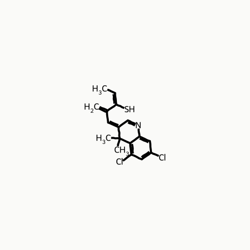 C=C(/C=C1\C=Nc2cc(Cl)cc(Cl)c2C1(C)C)/C(S)=C\C